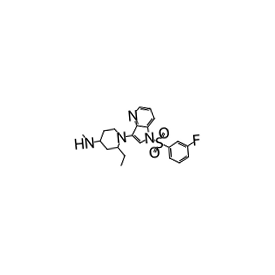 CCC1CC(NC)CCN1c1cn(S(=O)(=O)c2cccc(F)c2)c2cccnc12